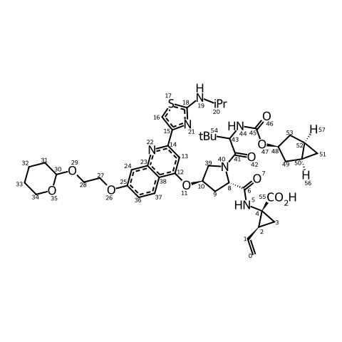 C=C[C@@H]1C[C@]1(NC(=O)[C@@H]1C[C@@H](Oc2cc(-c3csc(NC(C)C)n3)nc3cc(OCCOC4CCCCO4)ccc23)CN1C(=O)C(NC(=O)O[C@@H]1C[C@@H]2C[C@@H]2C1)C(C)(C)C)C(=O)O